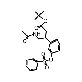 CC(=O)NCC(CC(=O)OC(C)(C)C)c1cccc(OS(=O)(=O)c2ccccc2)c1